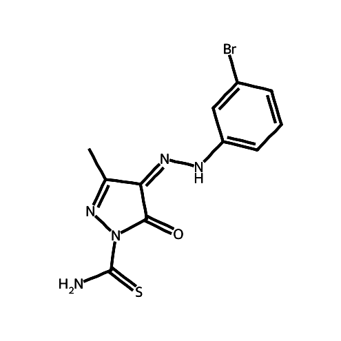 CC1=NN(C(N)=S)C(=O)C1=NNc1cccc(Br)c1